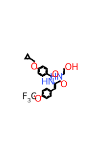 O=C(NCCO)/C(=C/c1ccc(OC(F)(F)F)cc1)NC(=O)c1ccc(OCC2CC2)cc1